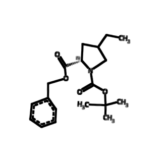 CCC1C[C@@H](C(=O)OCc2ccccc2)N(C(=O)OC(C)(C)C)C1